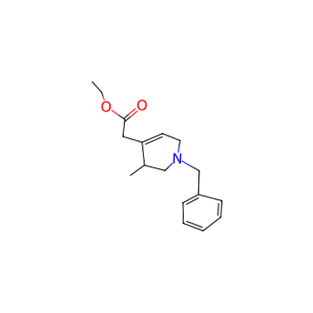 CCOC(=O)CC1=CCN(Cc2ccccc2)CC1C